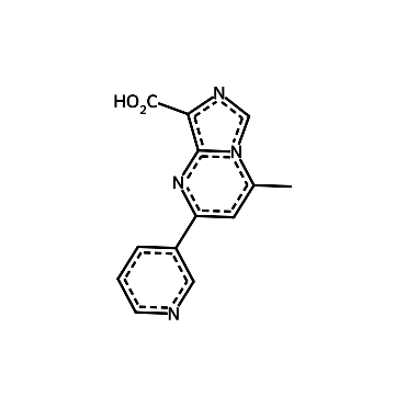 Cc1cc(-c2cccnc2)nc2c(C(=O)O)ncn12